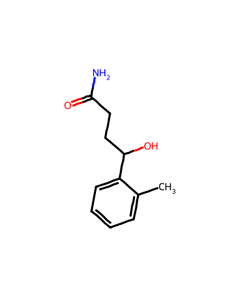 Cc1ccccc1C(O)CCC(N)=O